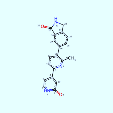 Cc1nc(-c2cc[nH]c(=O)c2)ccc1-c1ccc2c(c1)C(=O)NC2